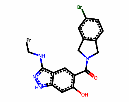 CC(C)CNc1n[nH]c2cc(O)c(C(=O)N3Cc4ccc(Br)cc4C3)cc12